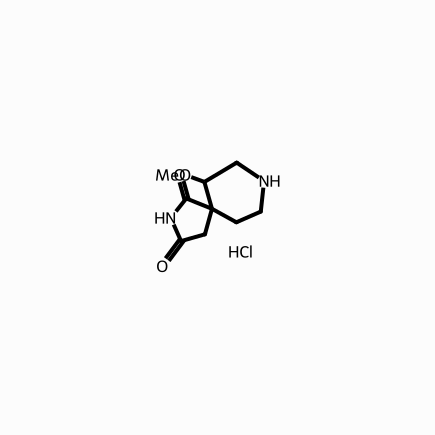 COC1CNCCC12CC(=O)NC2=O.Cl